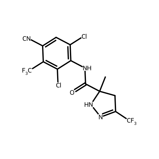 [C-]#[N+]c1cc(Cl)c(NC(=O)C2(C)CC(C(F)(F)F)=NN2)c(Cl)c1C(F)(F)F